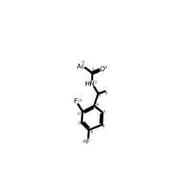 CC(=O)C(=O)NC(C)c1ccc(F)cc1F